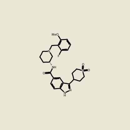 COc1cccc(F)c1CN1CCC[C@@H](NC(=O)c2ccc3[nH]nc(C4CCS(=O)(=O)CC4)c3c2)C1